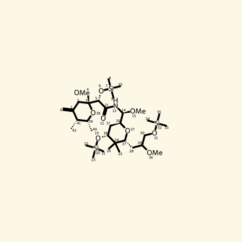 C=C1C[C@](OC)([C@H](O[Si](C)(C)C)C(=O)N[C@@H](OC)[C@@H]2C[C@@H](O[Si](C)(C)C)C(C)(C)[C@@H](CC(CO[Si](C)(C)C)OC)O2)O[C@H](C)[C@@H]1C